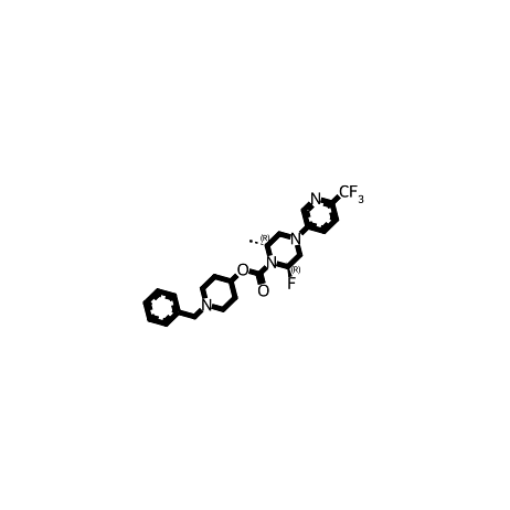 C[C@@H]1CN(c2ccc(C(F)(F)F)nc2)C[C@@H](F)N1C(=O)OC1CCN(Cc2ccccc2)CC1